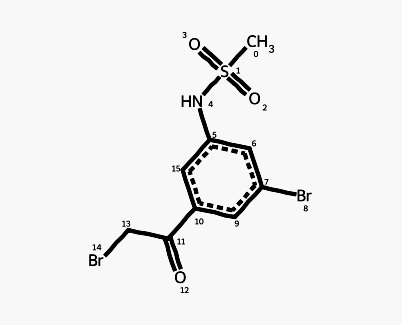 CS(=O)(=O)Nc1cc(Br)cc(C(=O)CBr)c1